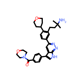 CC(C)(N)CCc1cc(-c2cc3c(-c4ccc(C(=O)N5CCOCC5)cc4)c[nH]c3nn2)ccc1C1CCOCC1